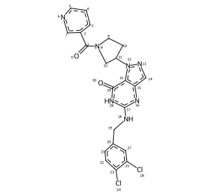 O=C(c1cccnc1)N1CCC(n2ncc3nc(NCc4ccc(Cl)c(Cl)c4)[nH]c(=O)c32)C1